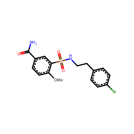 COc1ccc(C(N)=O)cc1S(=O)(=O)NCCc1ccc(Br)cc1